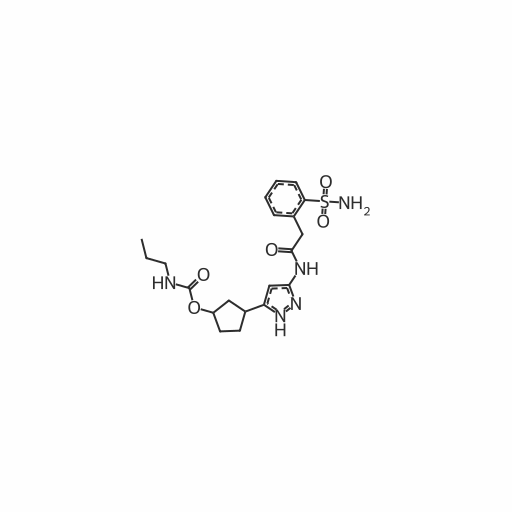 CCCNC(=O)OC1CCC(c2cc(NC(=O)Cc3ccccc3S(N)(=O)=O)n[nH]2)C1